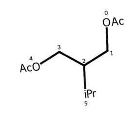 CC(=O)OCC(COC(C)=O)C(C)C